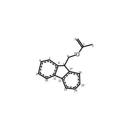 C=C(C)OCC1c2ccccc2-c2ccccc21